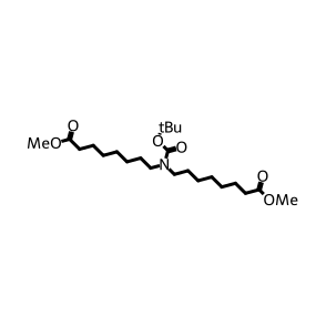 COC(=O)CCCCCCCN(CCCCCCCC(=O)OC)C(=O)OC(C)(C)C